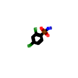 [NH]S(=O)(=O)c1ccc(Cl)cc1Cl